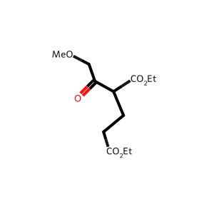 CCOC(=O)CCC(C(=O)COC)C(=O)OCC